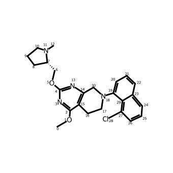 COc1nc(OC[C@@H]2CCCN2C)nc2c1CCN(c1cccc3cccc(Cl)c13)C2